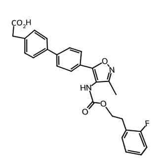 Cc1noc(-c2ccc(-c3ccc(CC(=O)O)cc3)cc2)c1NC(=O)OCCc1ccccc1F